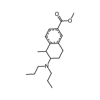 CCCN(CCC)C1CCc2cc(C(=O)OC)ccc2C1C